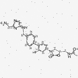 CC(=O)NCC1CN(c2ccc(-c3ccc(CNc4nc(CN)ns4)cc3)c(F)c2)C(=O)O1